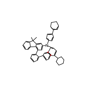 CC1(C)c2ccccc2-c2c(-c3ccccc3-c3ccccc3)cc(N(c3ccc(C4CCCCC4)cc3)c3ccc(C4CC5CCC4CC5)cc3)cc21